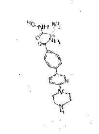 NC[C@H](NC(=O)c1ccc(-c2ccc(N3CCNCC3)nc2)cc1)C(=O)NO